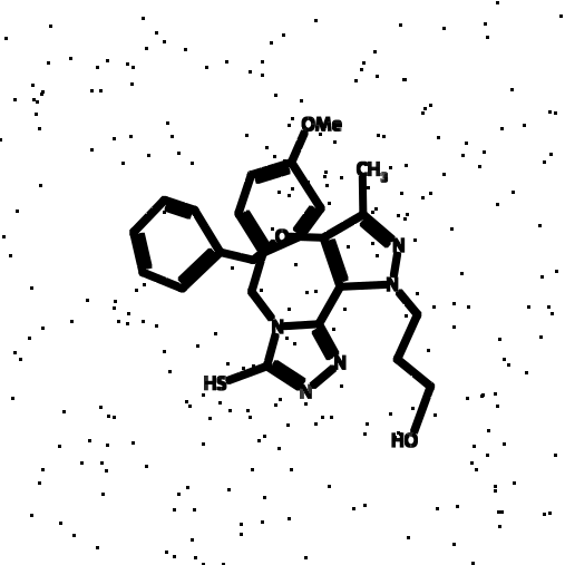 COc1ccc(Cn2c(S)nnc2-c2c(OCc3ccccc3)c(C)nn2CCCO)cc1